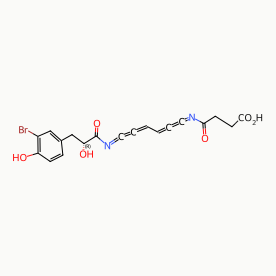 O=C(O)CCC(=O)N=C=C=CC=C=C=NC(=O)[C@H](O)Cc1ccc(O)c(Br)c1